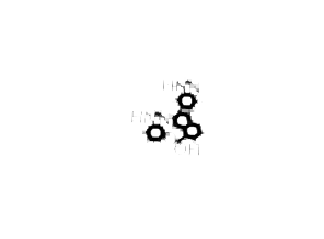 O=C(O)c1cccc2ccccc12.c1ccc2[nH]cnc2c1.c1ccc2[nH]cnc2c1